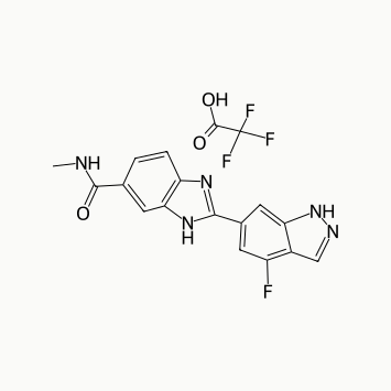 CNC(=O)c1ccc2nc(-c3cc(F)c4cn[nH]c4c3)[nH]c2c1.O=C(O)C(F)(F)F